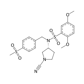 COc1ccc(OC)c(S(=O)(=O)N(Cc2ccc(S(C)(=O)=O)cc2)[C@@H]2CCN(C#N)C2)c1